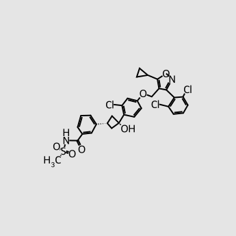 CS(=O)(=O)NC(=O)c1cccc([C@H]2C[C@](O)(c3ccc(OCc4c(-c5c(Cl)cccc5Cl)noc4C4CC4)cc3Cl)C2)c1